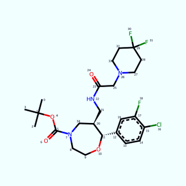 CC(C)(C)OC(=O)N1CCO[C@@H](c2ccc(Cl)c(F)c2)[C@H](CNC(=O)CN2CCC(F)(F)CC2)C1